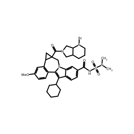 COc1ccc2c(c1)C1CC1(C(=O)N1CC3CCCN(C(C)=O)C3C1)Cn1c-2c(C2CCCCC2)c2ccc(C(=O)NS(=O)(=O)N(C)C)cc21